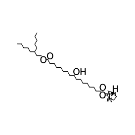 CCCCCC(CCCCC)CCOC(=O)CCCCCCCC(O)CCCCCCCC(=O)OC1C[C@H]2CC[C@]1(C)C2(C)C